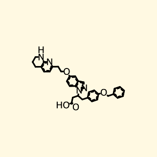 O=C(O)CC(Cc1ccc(OCc2ccccc2)cc1)n1ncc2cc(OCCc3ccc4c(n3)NCCC4)ccc21